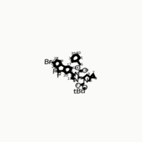 CC(C)(C)OC(=O)N1CC2(CC2)C[C@H]1c1ncc(-c2ccc3c(c2)C(F)(F)c2cc(Br)ccc2-3)n1C(=O)OCc1ccccc1